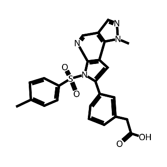 Cc1ccc(S(=O)(=O)n2c(-c3cccc(CC(=O)O)c3)cc3c4c(cnc32)cnn4C)cc1